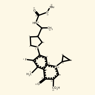 Cc1c(F)c(N2CCC(C(C)NC(=O)OC(C)(C)C)C2)cc2c1c(=O)c(C(=O)O)cn2C1CC1